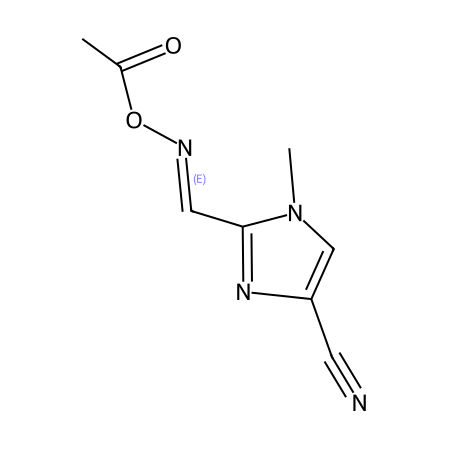 CC(=O)O/N=C/c1nc(C#N)cn1C